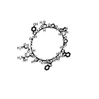 CCC/C=C1\C(=O)N[C@@H](CCCNC(=N)N)C(=O)N[C@H](C(=O)NCC(N)=O)CSCC(=O)N[C@@H](Cc2ccc(O)cc2)C(=O)N(C)[C@@H](C)C(=O)N[C@@H](CC(N)=O)C(=O)N2CCC[C@H]2C(=O)N[C@@H](Cc2cnc[nH]2)C(=O)N[C@@H](CC(C)C)C(=O)N2CCC[C@H]2C(=O)N[C@@H](Cc2c[nH]c3ccccc23)C(=O)N[C@@H](CO)C(=O)N[C@@H](Cc2nc3ccccc3s2)C(=O)N(C)[C@@H](CCCC)C(=O)N1C